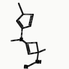 CCNC1(C)C=C(N(C)C2=CC(C)C=C2)C1